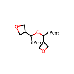 CCCCCC(OC(CCCCC)C1COC1)C1COC1